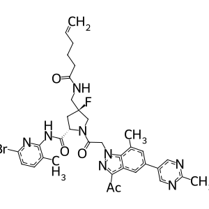 C=CCCCC(=O)NC[C@@]1(F)C[C@@H](C(=O)Nc2nc(Br)ccc2C)N(C(=O)Cn2nc(C(C)=O)c3cc(-c4cnc(C)nc4)cc(C)c32)C1